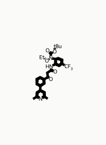 CCON(C(=O)OC(C)(C)C)c1ccc(C(F)(F)F)cc1NC(=O)CC(=O)c1cccc(-c2cc(C)nc(C)c2)c1